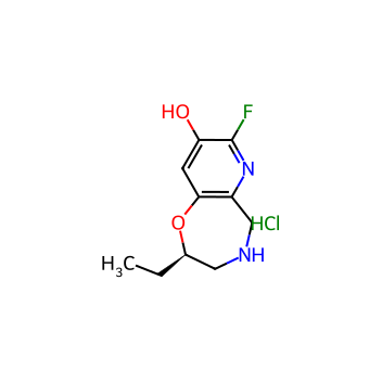 CC[C@@H]1CNCc2nc(F)c(O)cc2O1.Cl